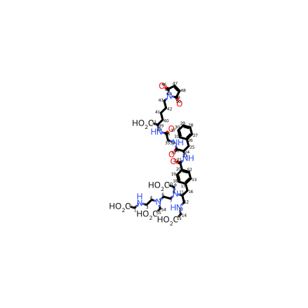 O=C(O)CNCCN(CCN(CC(=O)O)C(CNCC(=O)O)Cc1ccc(C(=O)NC(Cc2ccccc2)C(=O)NCC(=O)NC(CCCCN2C(=O)C=CC2=O)C(=O)O)cc1)CC(=O)O